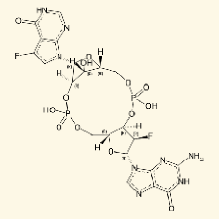 Nc1nc2c(ncn2[C@@H]2O[C@@H]3COP(=O)(O)O[C@@H]4[C@H](O)[C@@H](COP(=O)(O)O[C@H]3[C@H]2F)O[C@H]4n2cc(F)c3c(=O)[nH]cnc32)c(=O)[nH]1